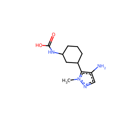 Cn1ncc(N)c1C1CCCC(NC(=O)O)C1